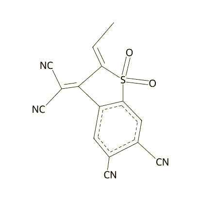 C/C=C1/C(=C(C#N)C#N)c2cc(C#N)c(C#N)cc2S1(=O)=O